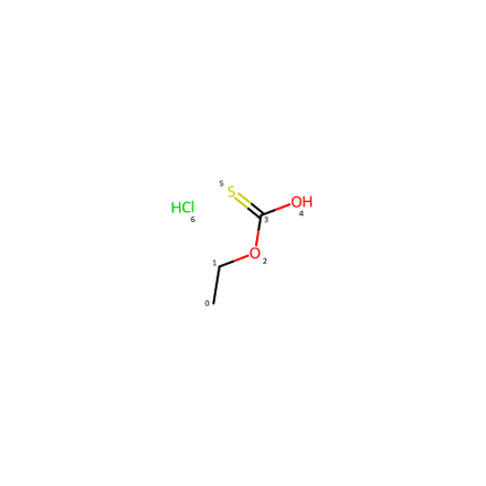 CCOC(O)=S.Cl